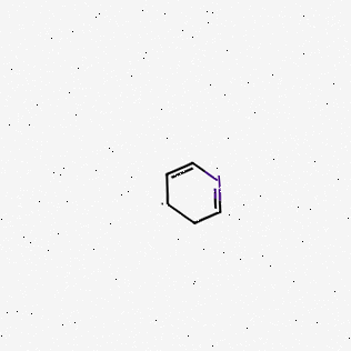 [CH]1C=CI=CC1